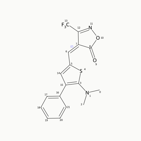 CN(C)c1sc(/C=C2\C(=O)ON=C2C(F)(F)F)cc1-c1ccccc1